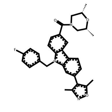 Cc1noc(C)c1-c1ccc2c3cc(C(=O)N4C[C@@H](C)O[C@@H](C)C4)ccc3n(Cc3ccc(F)cc3)c2c1